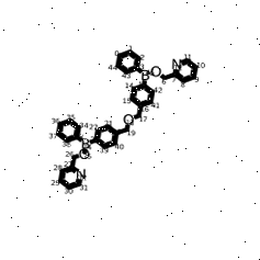 c1ccc(B(OCc2ccccn2)c2ccc(COCc3ccc(B(OCc4ccccn4)c4ccccc4)cc3)cc2)cc1